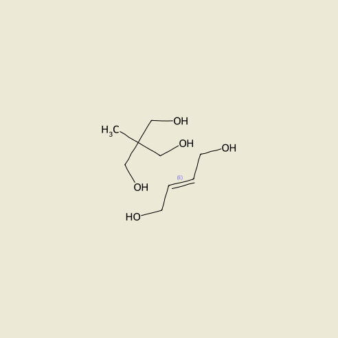 CC(CO)(CO)CO.OC/C=C/CO